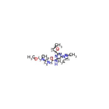 COCCN(C)[C@@H]1CCN(CC(=O)Nc2cc(-n3nc(C)cc3C)nc(-c3ccc(C)o3)n2)C1